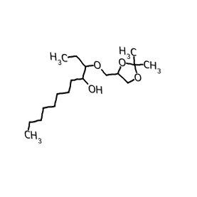 CCCCCCCCC(O)C(CC)OCC1COC(C)(C)O1